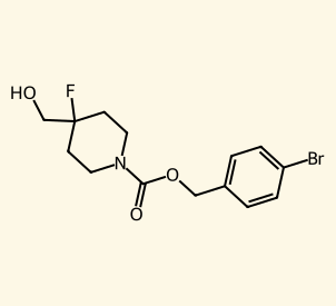 O=C(OCc1ccc(Br)cc1)N1CCC(F)(CO)CC1